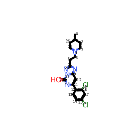 CC1CCN(CCc2nc3cc(-c4ccc(Cl)cc4Cl)nc(O)n3n2)CC1